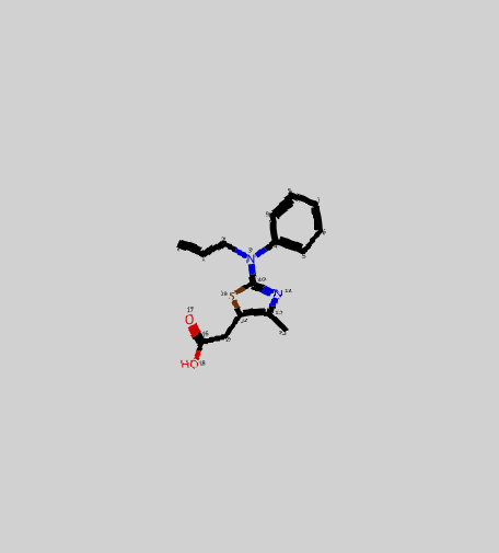 C=CCN(c1ccccc1)c1nc(C)c(CC(=O)O)s1